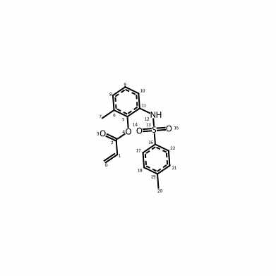 C=CC(=O)Oc1c(C)cccc1NS(=O)(=O)c1ccc(C)cc1